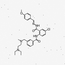 CCN(CC)CCN(C)Cc1cccc(C(=O)Nc2ccc(Cl)cc2C(=O)N/N=C/c2ccc(OC)cc2)c1